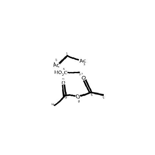 CC(=O)CC(C)=O.CC(=O)O.CC(=O)OC(C)=O